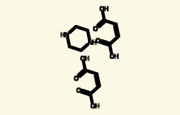 C1CNCCN1.O=C(O)/C=C\C(=O)O.O=C(O)/C=C\C(=O)O